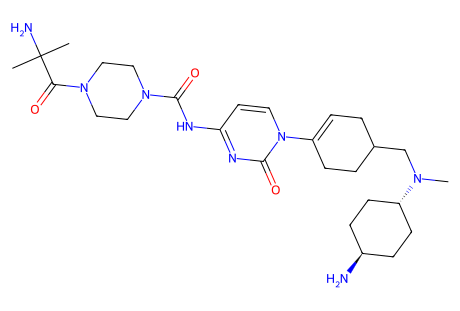 CN(CC1CC=C(n2ccc(NC(=O)N3CCN(C(=O)C(C)(C)N)CC3)nc2=O)CC1)[C@H]1CC[C@H](N)CC1